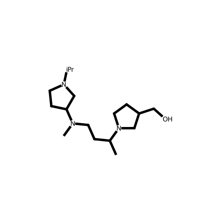 CC(C)N1CCC(N(C)CCC(C)N2CCC(CO)C2)C1